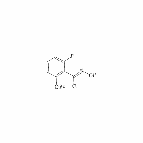 CC(C)COc1cccc(F)c1/C(Cl)=N/O